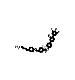 CCCCCC1CCC(OCc2ccc(C(F)(F)Oc3ccc(-c4ccc(-c5cc(F)c(F)c(F)c5)c(F)c4)cc3)c(F)c2)CC1